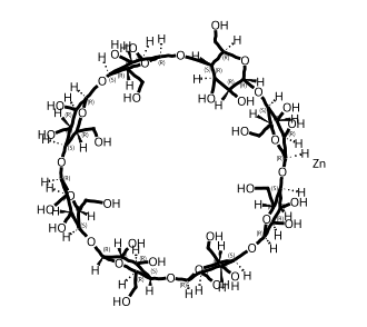 OC[C@H]1O[C@@H]2O[C@H]3[C@H](O)[C@@H](O)[C@@H](O[C@H]4[C@H](O)[C@@H](O)[C@@H](O[C@H]5[C@H](O)[C@@H](O)[C@@H](O[C@H]6[C@H](O)[C@@H](O)[C@@H](O[C@H]7[C@H](O)[C@@H](O)[C@@H](O[C@H]8[C@H](O)[C@@H](O)[C@@H](O[C@H]9[C@H](O)[C@@H](O)[C@@H](O[C@H]1[C@H](O)[C@H]2O)O[C@@H]9CO)O[C@@H]8CO)O[C@@H]7CO)O[C@@H]6CO)O[C@@H]5CO)O[C@@H]4CO)O[C@@H]3CO.[Zn]